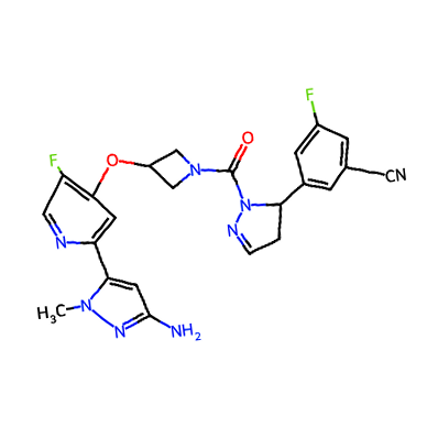 Cn1nc(N)cc1-c1cc(OC2CN(C(=O)N3N=CCC3c3cc(F)cc(C#N)c3)C2)c(F)cn1